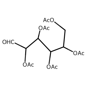 CC(=O)OCC(OC(C)=O)C(OC(C)=O)C(OC(C)=O)C(C=O)OC(C)=O